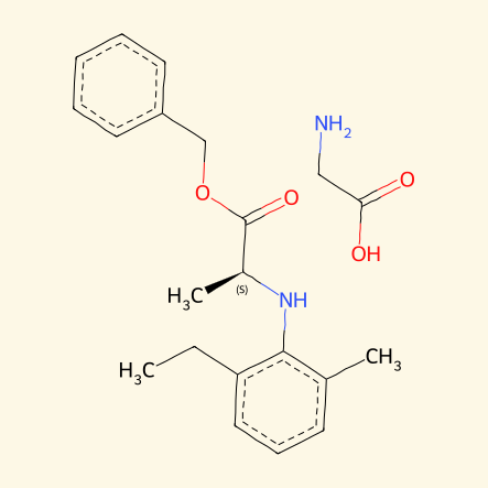 CCc1cccc(C)c1N[C@@H](C)C(=O)OCc1ccccc1.NCC(=O)O